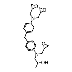 CC(O)CN(CC1CO1)c1ccc(CC2=CCC(N(CC3CO3)CC3CO3)C=C2)cc1